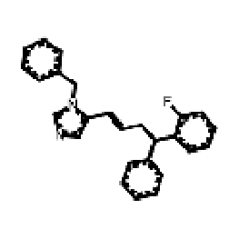 Fc1ccccc1C(CC=Cc1cncn1Cc1ccccc1)c1ccccc1